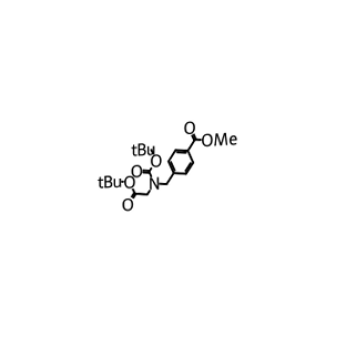 COC(=O)c1ccc(CN(CC(=O)OC(C)(C)C)C(=O)OC(C)(C)C)cc1